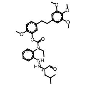 CCN(C(=O)Oc1cc(CCc2cc(OC)c(OC)c(OC)c2)ccc1OC)c1ccccc1NN[C@@H](C=O)CC(C)C